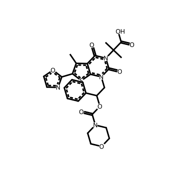 Cc1c(-c2ncco2)sc2c1c(=O)n(C(C)(C)C(=O)O)c(=O)n2CC(OC(=O)N1CCOCC1)c1ccccc1